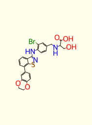 O=C(O)C(CO)NCc1ccc(Nc2nsc3c(-c4ccc5c(c4)OCCO5)cccc23)c(Br)c1